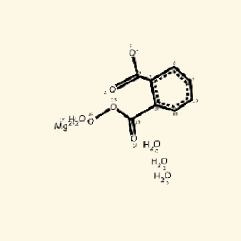 O.O.O.O.O=C([O-])c1ccccc1C(=O)O[O-].[Mg+2]